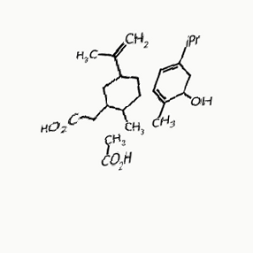 C=C(C)C1CCC(C)C(CC(=O)O)C1.CC(=O)O.CC1=CC=C(C(C)C)CC1O